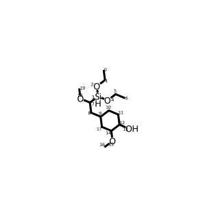 CCO[SiH](OCC)C(CC1CCC(O)C(OC)C1)OC